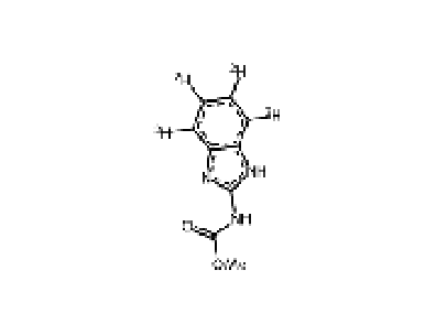 [2H]c1c([2H])c([2H])c2[nH]c(NC(=O)OC)nc2c1[2H]